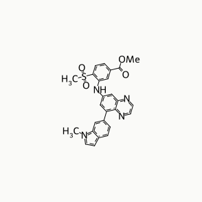 COC(=O)c1ccc(S(C)(=O)=O)c(Nc2cc(-c3ccc4ccn(C)c4c3)c3nccnc3c2)c1